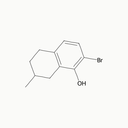 CC1CCc2ccc(Br)c(O)c2C1